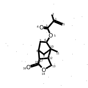 C=C(C)C(=O)OC1CC2CC1(C)C1COC(=O)C21